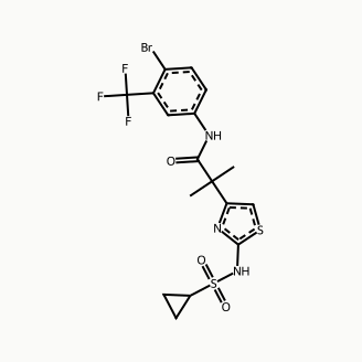 CC(C)(C(=O)Nc1ccc(Br)c(C(F)(F)F)c1)c1csc(NS(=O)(=O)C2CC2)n1